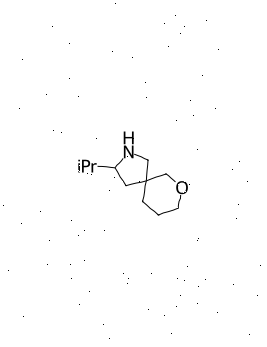 CC(C)C1CC2(CCCOC2)CN1